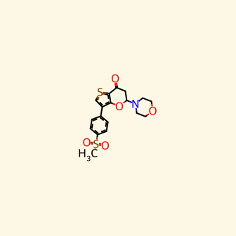 CS(=O)(=O)c1ccc(-c2csc3c2OC(N2CCOCC2)CC3=O)cc1